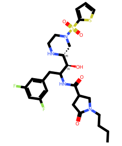 CCCCN1CC(C(=O)NC(Cc2cc(F)cc(F)c2)[C@H](O)[C@H]2CN(S(=O)(=O)c3cccs3)CCN2)CC1=O